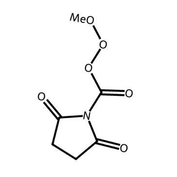 COOOC(=O)N1C(=O)CCC1=O